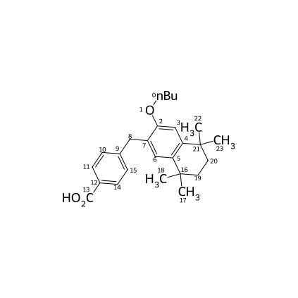 CCCCOc1cc2c(cc1Cc1ccc(C(=O)O)cc1)C(C)(C)CCC2(C)C